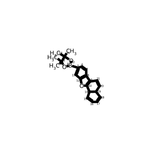 CC1(C)OB(c2ccc3c4c(oc3c2)C2C=CC=CC2C=C4)OC1(C)C